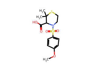 COc1ccc(S(=O)(=O)N2CCSC(C)(C)C2C(=O)O)cc1